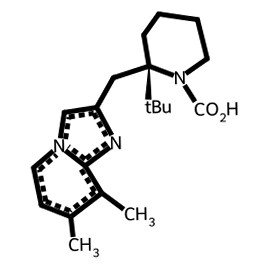 Cc1ccn2cc(C[C@]3(C(C)(C)C)CCCCN3C(=O)O)nc2c1C